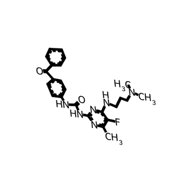 Cc1nc(NC(=O)Nc2ccc(C(=O)c3ccccc3)cc2)nc(NCCCN(C)C)c1F